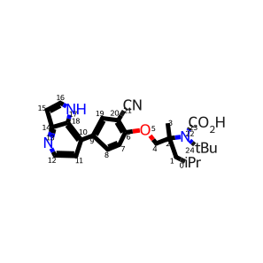 CC(C)CC(C)(COc1ccc(-c2ccnc3cc[nH]c23)cc1C#N)N(C(=O)O)C(C)(C)C